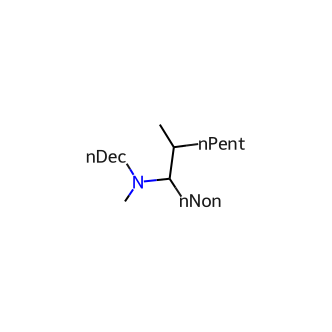 CCCCCCCCCCN(C)C(CCCCCCCCC)C(C)CCCCC